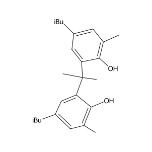 CCC(C)c1cc(C)c(O)c(C(C)(C)c2cc(C(C)CC)cc(C)c2O)c1